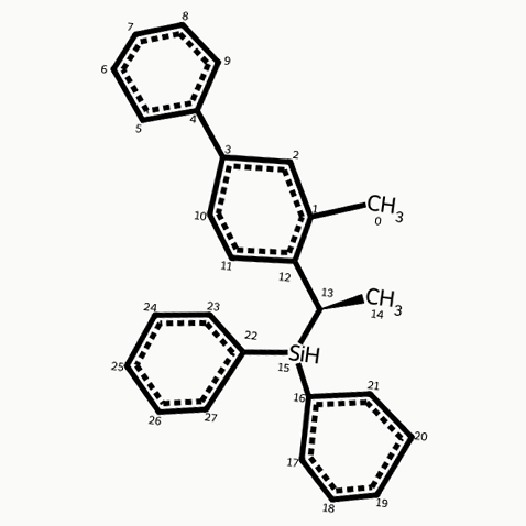 Cc1cc(-c2ccccc2)ccc1[C@@H](C)[SiH](c1ccccc1)c1ccccc1